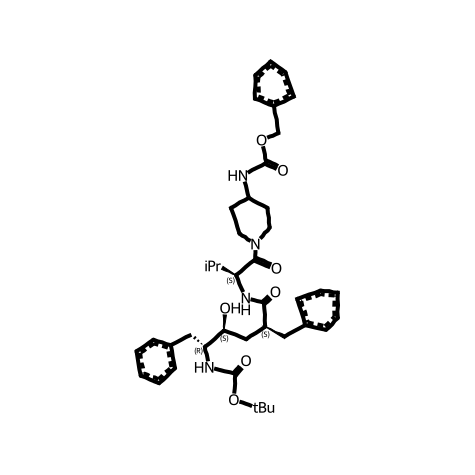 CC(C)[C@H](NC(=O)[C@@H](Cc1ccccc1)C[C@H](O)[C@@H](Cc1ccccc1)NC(=O)OC(C)(C)C)C(=O)N1CCC(NC(=O)OCc2ccccc2)CC1